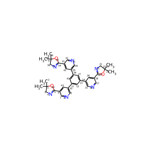 CC1(C)CN=C(c2cncc(-c3cc(-c4cncc(C5=NCC(C)(C)O5)c4)cc(-c4cncc(C5=NCC(C)(C)O5)c4)c3)c2)O1